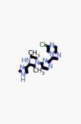 CC1CN(c2ccnc(-c3cnc4cnc(Cl)cn34)n2)C(C)C(c2c[nH]cn2)N1